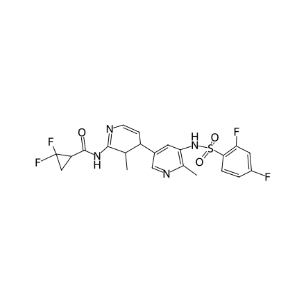 Cc1ncc(C2C=CN=C(NC(=O)C3CC3(F)F)C2C)cc1NS(=O)(=O)c1ccc(F)cc1F